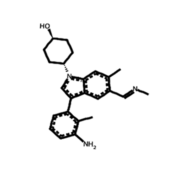 C/N=C/c1cc2c(-c3cccc(N)c3C)cn([C@H]3CC[C@H](O)CC3)c2cc1C